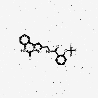 O=C(NCc1cc2c3ccccc3[nH]c(=O)n2n1)c1ccccc1OC(F)(F)F